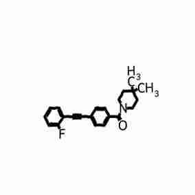 CC1(C)CCN(C(=O)c2ccc(C#Cc3ccccc3F)cc2)CC1